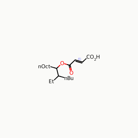 CCCCCCCCC(OC(=O)/C=C/C(=O)O)C(CC)CCCC